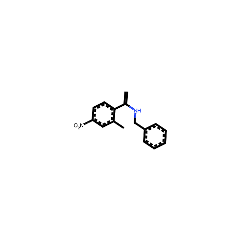 C=C(NCc1ccccc1)c1ccc([N+](=O)[O-])cc1C